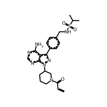 C=CC(=O)N1CCCC(n2nc(-c3ccc(CNS(=O)(=O)C(C)C)cc3)c3c(N)ncnc32)C1